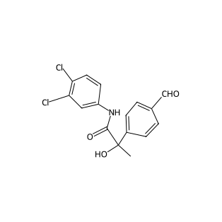 CC(O)(C(=O)Nc1ccc(Cl)c(Cl)c1)c1ccc(C=O)cc1